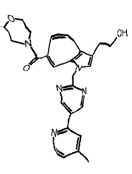 Cc1ccnc(-c2cnc(-n3cc(CCO)c4ccc(C(=O)N5CCOCC5)cc43)nc2)c1